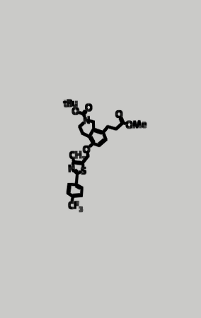 COC(=O)CCc1ccc(OCc2sc(-c3ccc(C(F)(F)F)cc3)nc2C)c2c1CN(C(=O)OC(C)(C)C)CC2